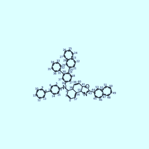 C1=CC(N(c2ccc(-c3ccccc3)cc2)c2ccc(-c3ccc4ccccc4c3)c(-c3ccccc3)c2)C2C=CC3OC(c4ccc5ccccc5c4)=NC3C2=C1